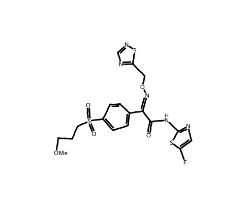 COCCCS(=O)(=O)c1ccc(/C(=N\OCc2ncns2)C(=O)Nc2ncc(F)s2)cc1